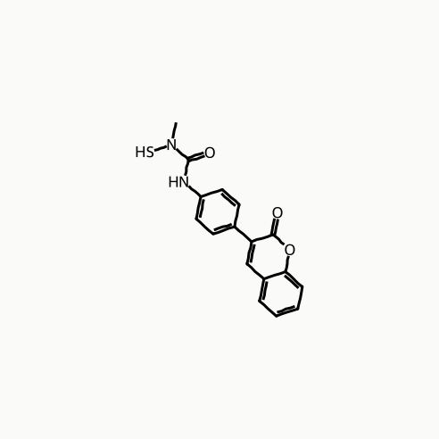 CN(S)C(=O)Nc1ccc(-c2cc3ccccc3oc2=O)cc1